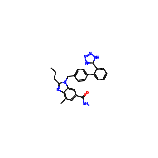 CCCc1nc2c(C)cc(C(N)=O)cc2n1Cc1ccc(-c2ccccc2-c2nnn[nH]2)cc1